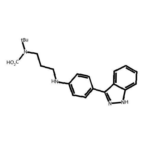 CC(C)(C)N(CCCNc1ccc(-c2n[nH]c3ccccc23)cc1)C(=O)O